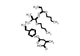 C=C(C)C(=O)OCCCC.C=C(CC(=O)O)C(=O)O.C=CC(=O)OCCCC.C=Cc1ccccc1